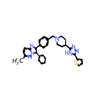 Cc1ccc2nc(-c3ccc(CN4CCC(c5nnc(-c6cccs6)[nH]5)CC4)cc3)c(-c3ccccc3)n2n1